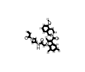 C=CC(=O)N1CC(NC(=O)Cn2c(C)c(C(=O)N3CCc4c(cccc4OC)C3)c3cc(C)cc(C)c32)C1